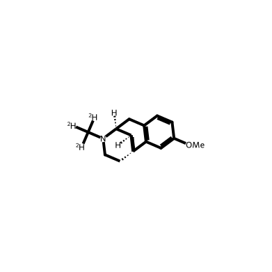 [2H]C([2H])([2H])N1CC[C@@]23CCCC[C@@H]2[C@@H]1Cc1ccc(OC)cc13